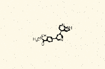 CN(C)C(=O)c1ccc(-c2cncc(-c3ccnc4[nH]ccc34)c2)cc1